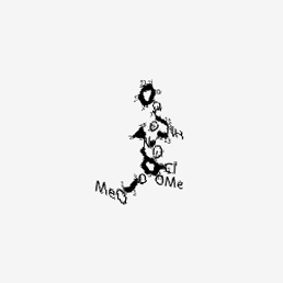 COCCCOc1cc(CN(C(=O)[C@H]2CNC[C@@H](COc3ccccc3)O2)C2CC2)cc(Cl)c1OC